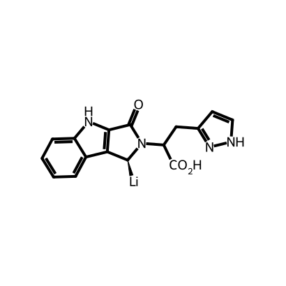 [Li][C@H]1c2c([nH]c3ccccc23)C(=O)N1C(Cc1cc[nH]n1)C(=O)O